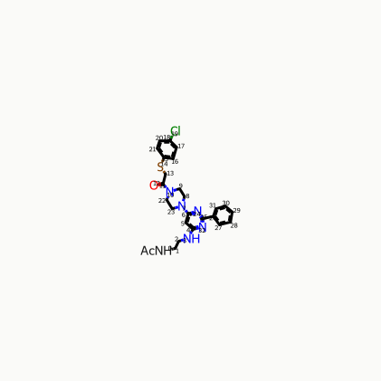 CC(=O)NCCNc1cc(N2CCN(C(=O)CSc3ccc(Cl)cc3)CC2)nc(-c2ccccc2)n1